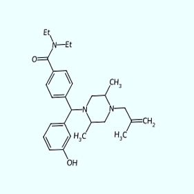 C=C(C)CN1CC(C)N(C(c2ccc(C(=O)N(CC)CC)cc2)c2cccc(O)c2)CC1C